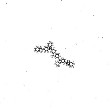 CC1(C)c2cc(-n3c4ccccc4c4cc(-c5nc6ccccc6o5)ccc43)ccc2-c2ccc(-n3c4ccccc4c4cc(-c5nc6ccccc6o5)ccc43)cc21